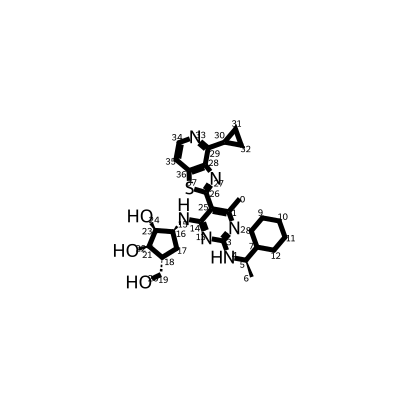 Cc1nc(N[C@H](C)C2CCCCC2)nc(N[C@@H]2C[C@H](CO)[C@@H](O)[C@H]2O)c1-c1nc2c(C3CC3)nccc2s1